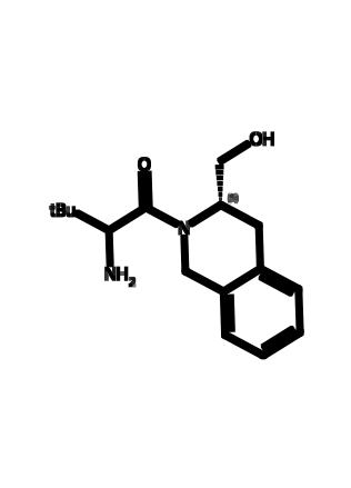 CC(C)(C)C(N)C(=O)N1Cc2ccccc2C[C@H]1CO